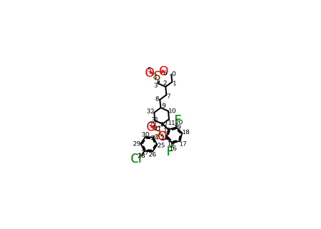 CCC(C=S(=O)=O)CCC1CCC(c2cc(F)ccc2F)(S(=O)(=O)c2ccc(Cl)cc2)CC1